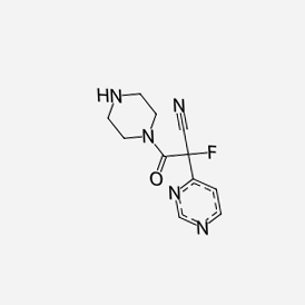 N#CC(F)(C(=O)N1CCNCC1)c1ccncn1